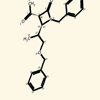 CC(=O)[C@@H]1C(=O)N(Cc2ccccc2)[C@H]1C(C)COCc1ccccc1